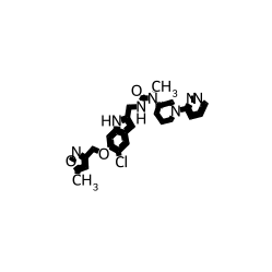 Cc1cc(COc2cc3[nH]c(CNC(=O)N(C)[C@@H]4CCCN(c5cccnn5)C4)cc3cc2Cl)no1